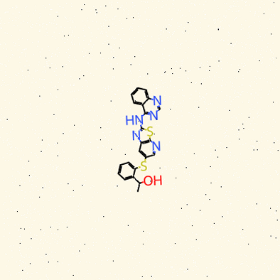 CC(O)c1ccccc1Sc1cnc2sc(Nc3ncnc4ccccc34)nc2c1